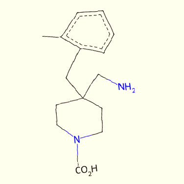 Cc1ccccc1CC1(CN)CCN(C(=O)O)CC1